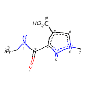 CC(C)NC(=O)c1nn(C)cc1C(=O)O